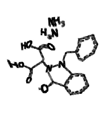 N.N.[O]C1c2ccccc2N(Cc2ccccc2)N1C(C(=O)O)C(=O)O